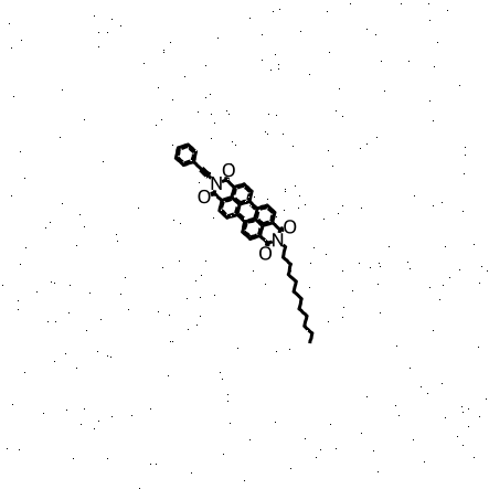 CCCCCCCCCCCCN1C(=O)c2ccc3c4ccc5c6c(ccc(c7ccc(c2c37)C1=O)c64)C(=O)N(C#Cc1ccccc1)C5=O